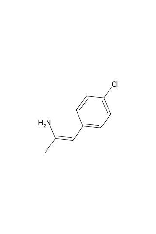 CC(N)=Cc1ccc(Cl)cc1